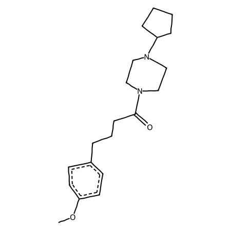 COc1ccc(CCCC(=O)N2CCN(C3CCCC3)CC2)cc1